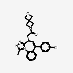 Cc1nnc2n1-c1ccccc1C(c1ccc(Cl)cc1)=C[C@@H]2CC(=O)N1CC2(COC2)C1